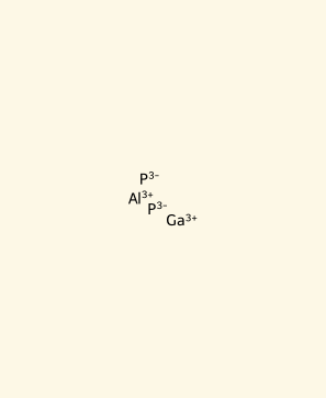 [Al+3].[Ga+3].[P-3].[P-3]